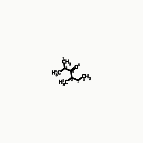 CCC(C)C(=O)C(C)C